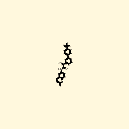 Cc1ccc2cc(NC(=O)C(O)c3cccc(-c4ccc(C(C)(C)C)cc4)c3)ccc2n1